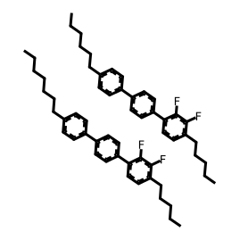 CCCCCCCc1ccc(-c2ccc(-c3ccc(CCCCC)c(F)c3F)cc2)cc1.CCCCCCc1ccc(-c2ccc(-c3ccc(CCCCC)c(F)c3F)cc2)cc1